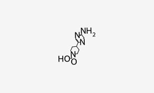 Nc1cnc(C2CCN(C(=O)O)CC2)cn1